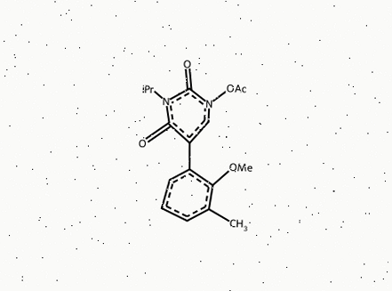 COc1c(C)cccc1-c1cn(OC(C)=O)c(=O)n(C(C)C)c1=O